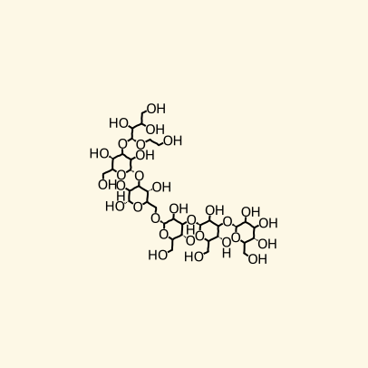 OCCO[C@@H](OC1C(O)[C@H](OC2C(O)[C@@H](O)OC(CO[C@@H]3OC(CO)[C@@H](O)C(O[C@@H]4OC(CO)[C@@H](O)C(O[C@@H]5OC(CO)[C@@H](O)C(O)C5O)C4O)C3O)[C@H]2O)OC(CO)[C@H]1O)C(O)C(O)CO